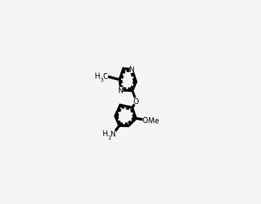 COc1cc(N)ccc1Oc1cncc(C)n1